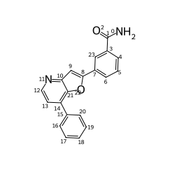 NC(=O)c1cccc(-c2cc3nccc(-c4ccccc4)c3o2)c1